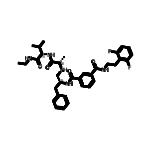 CCNC(=O)[C@@H](NC(=O)[C@H](C)NC[C@H](Cc1ccccc1)NC(=O)c1cccc(C(=O)NCCc2c(F)cccc2F)c1)C(C)C